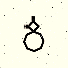 C1CCCC2(CCC1)CNN2